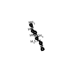 Cc1cc(N=Nc2ccc3cc(NOc4ccc(N)cc4)ccc3c2O)c(C)cc1N=Nc1ccc(N=Nc2ccccc2)cc1